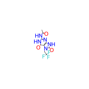 CC(=O)Nc1nc2[nH]c(=O)n(CC(F)(F)F)c2c(=O)[nH]1